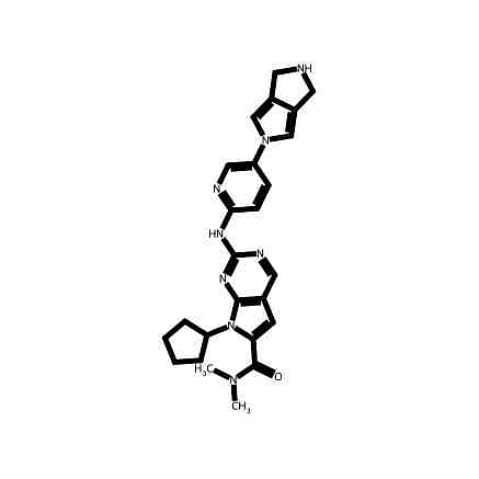 CN(C)C(=O)c1cc2cnc(Nc3ccc(-n4cc5c(c4)CNC5)cn3)nc2n1C1CCCC1